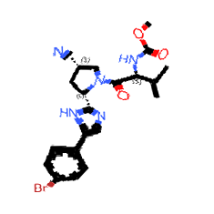 COC(=O)N[C@H](C(=O)N1C[C@@H](C#N)C[C@H]1c1ncc(-c2ccc(Br)cc2)[nH]1)C(C)C